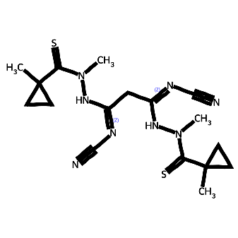 CN(N/C(C/C(=N/C#N)NN(C)C(=S)C1(C)CC1)=N\C#N)C(=S)C1(C)CC1